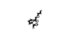 CCCOCC(=O)N1CCC[C@H]1C(C)=O